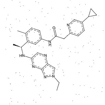 CCn1cc2ncc(N[C@@H](C)c3cc(NC(=O)Cc4ccc(C5CC5)cn4)ccc3C)nc2n1